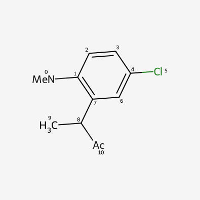 CNc1ccc(Cl)cc1C(C)C(C)=O